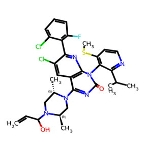 C=CC(O)N1C[C@H](C)N(c2nc(=O)n(-c3c(SC)ccnc3C(C)C)c3nc(-c4c(F)cccc4Cl)c(Cl)cc23)C[C@H]1C